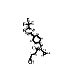 C#CCCC(=O)N(Cc1ccc(-c2noc(C(F)(F)F)n2)cc1)C1CC1